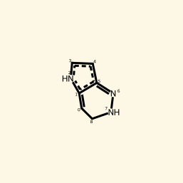 C1=c2[nH]ccc2=NNC1